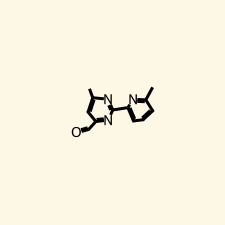 Cc1cccc(-c2nc(C)cc(C=O)n2)n1